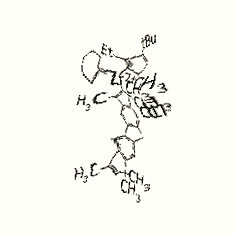 CCC1=[C]([Zr+2]([C]2=C(C)c3cc4c(cc3C2(C)C)Cc2cc3c(cc2-4)C(C)=CC3(C)C)=[C]2CCCCC2)C(C)C=C1C(C)(C)C.[Cl-].[Cl-]